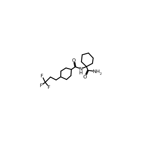 NC(=O)C1(NC(=O)C2CCC(CCC(F)(F)F)CC2)CCCCC1